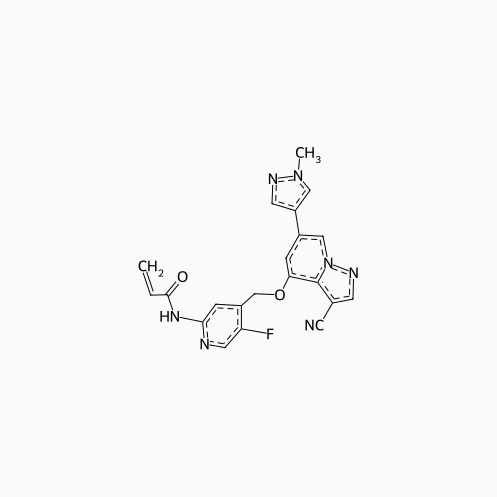 C=CC(=O)Nc1cc(COc2cc(-c3cnn(C)c3)cn3ncc(C#N)c23)c(F)cn1